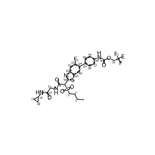 CCCCS(=O)(=O)C(C(=O)NCC(=O)NC1CC1)c1nc2cc(F)c(-c3ccc(NC(=O)OCC(F)(F)F)cc3)cc2s1